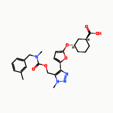 Cc1cccc(CN(C)C(=O)OCc2c(-c3ccc(O[C@H]4CCC[C@H](C(=O)O)C4)o3)nnn2C)c1